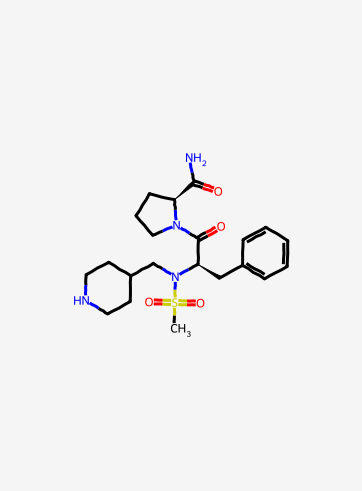 CS(=O)(=O)N(CC1CCNCC1)[C@H](Cc1ccccc1)C(=O)N1CCC[C@H]1C(N)=O